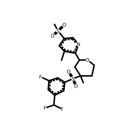 Cc1cc(S(C)(=O)=O)cnc1C1CC(C)(S(=O)(=O)c2cc(F)cc(C(F)F)c2)CCO1